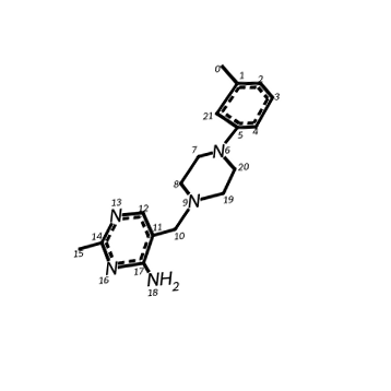 Cc1cccc(N2CCN(Cc3cnc(C)nc3N)CC2)c1